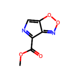 COC(=O)c1ncc2oonc1-2